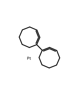 C1=CCCCCCC=1C1=C=CCCCCC1.[Pt]